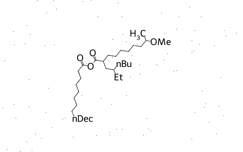 CCCCCCCCCCCCCCCCCC(=O)OC(=O)C(CCCCCCC(C)OC)CC(CC)CCCC